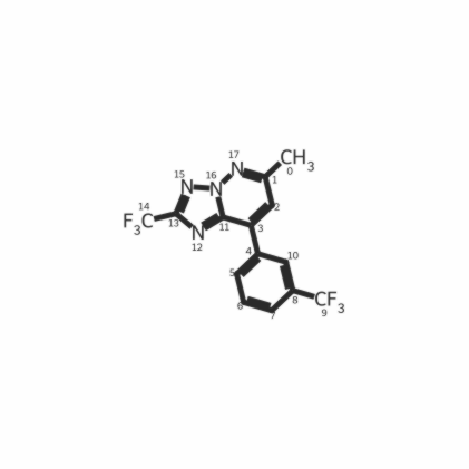 Cc1cc(-c2cccc(C(F)(F)F)c2)c2nc(C(F)(F)F)nn2n1